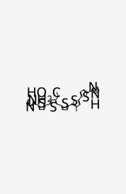 Cc1cc(-c2ccc(-c3ncc[nH]3)s2)sc1-c1ccc(-c2sc(-c3ccc(-c4ncc[nH]4)s3)cc2CC(=O)O)s1